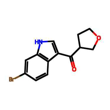 O=C(c1c[nH]c2cc(Br)ccc12)C1CCOC1